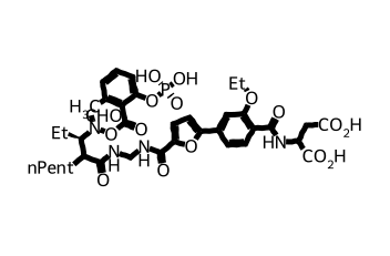 CCCCCC(C(=O)NCNC(=O)c1ccc(-c2ccc(C(=O)NC(CC(=O)O)C(=O)O)c(OCC)c2)o1)[C@@H](CC)N(C=O)OC(=O)c1c(C)cccc1OP(=O)(O)O